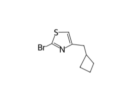 Brc1nc(CC2CCC2)cs1